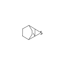 CC12SC1C1CCC2CC1